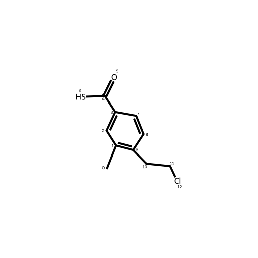 Cc1cc(C(=O)S)ccc1CCCl